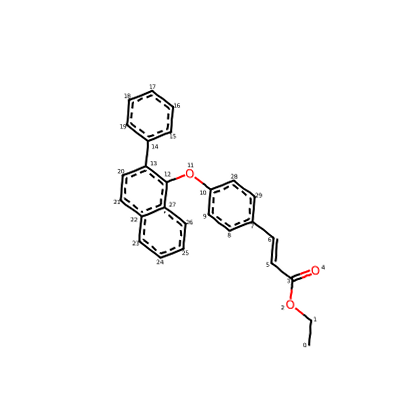 CCOC(=O)C=Cc1ccc(Oc2c(-c3ccccc3)ccc3ccccc23)cc1